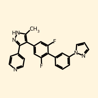 Cc1[nH]nc(-c2ccncc2)c1-c1cc(F)c(-c2cccc(-n3cccn3)c2)c(F)c1